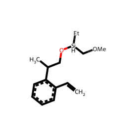 C=Cc1ccccc1C(C)CO[SiH](CC)COC